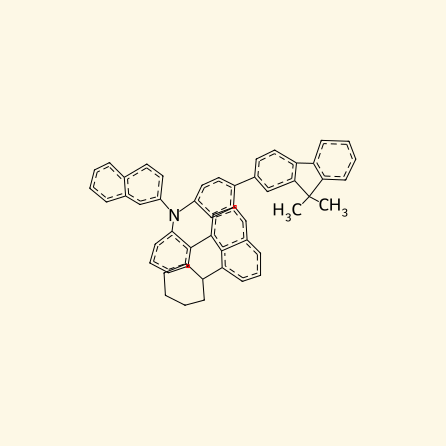 CC1(C)c2ccccc2-c2ccc(-c3ccc(N(c4ccc5ccccc5c4)c4ccccc4-c4cccc5cccc(C6CCCCC6)c45)cc3)cc21